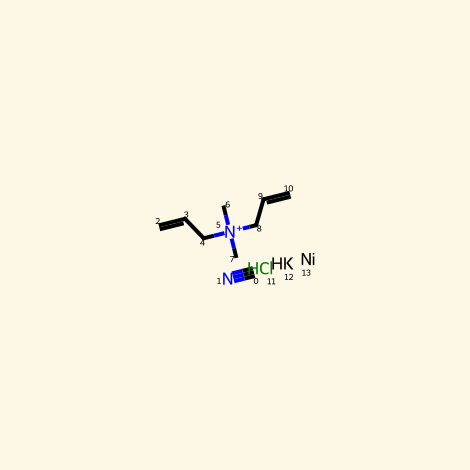 C#N.C=CC[N+](C)(C)CC=C.Cl.[KH].[Ni]